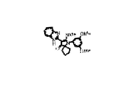 CNC1=C(c2nc3ccccc3[nH]2)C(=O)C2(CCCC2)N1c1cc(OC)cc(OC)c1